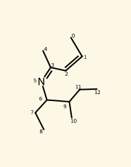 C/C=C\C(C)=N/C(CC)C(C)CC